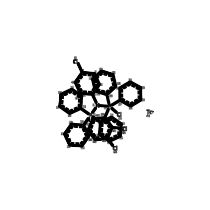 Clc1ccc(N([PH](c2ccccc2)(c2ccccc2)c2ccccc2)P(Cl)(c2ccccc2)(c2ccccc2)c2cccc(Cl)c2Cl)cc1.[Tc]